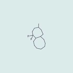 CC1CCC2CCCCCCCC2C(F)(F)CC1